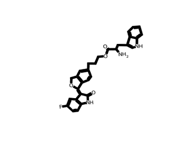 NC(Cc1c[nH]c2ccccc12)C(=O)OCCCc1ccc2c(c1)CO/C2=C1/C(=O)Nc2ccc(F)cc21